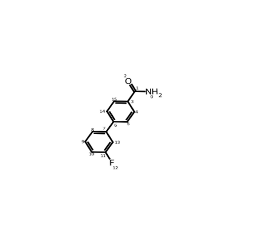 NC(=O)c1ccc(-c2cccc(F)c2)cc1